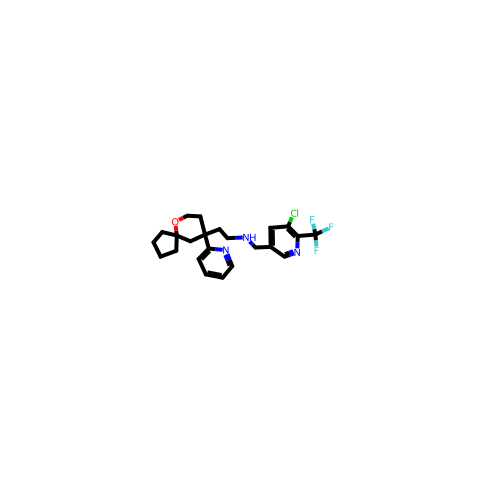 FC(F)(F)c1ncc(CNCCC2(c3ccccn3)CCOC3(CCCC3)C2)cc1Cl